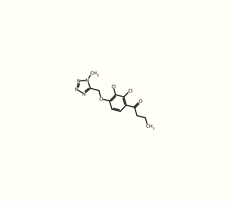 CCCC(=O)c1ccc(OCc2nnnn2C)c(Cl)c1Cl